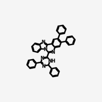 c1ccc(C2=NC(c3ccccc3)NC(c3nc4cc(-c5ccccc5)c(-c5ccccc5)cc4c4nc5ccccc5n34)=N2)cc1